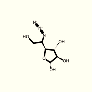 [N-]=[N+]=NC(CO)[C@@H]1O[C@@H](O)[C@H](O)[C@H]1O